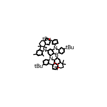 Cc1cc(C)c2c(c1)C1(C)CCc3ccccc3C1(C)N2c1cc2c3c(c1)N(c1ccc(C(C)(C)C)cc1-c1ccccc1)c1cc4c(cc1B3c1ccc(C(C)(C)C)cc1N2c1cccc(C(C)(C)C)c1)C(C)(C)CCC4(C)C